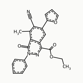 CCOC(=O)c1nn(-c2ccccc2)c(=O)c2c(C)c(C#N)c(-c3ccco3)cc12